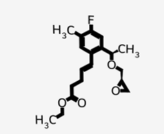 CCOC(=O)CC/C=C/c1cc(C)c(F)cc1[C@@H](C)OC[C@H]1CO1